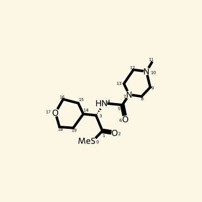 CSC(=O)[C@@H](NC(=O)N1CCN(C)CC1)C1CCOCC1